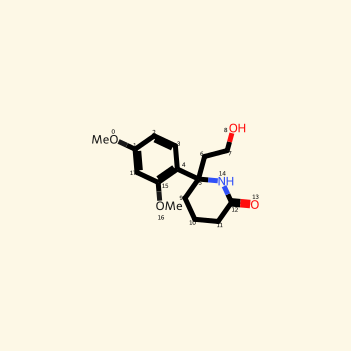 COc1ccc(C2(CCO)CCCC(=O)N2)c(OC)c1